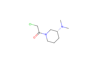 CN(C)[C@@H]1CCCN(C(=O)CCl)C1